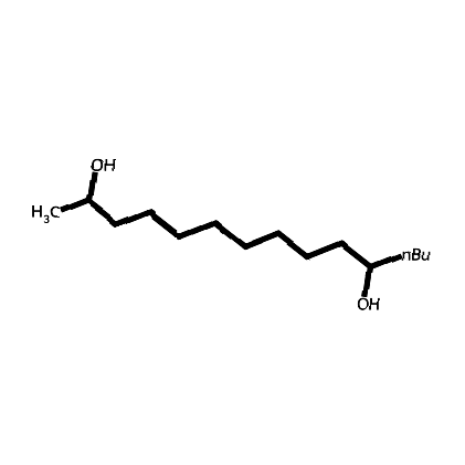 CCCCC(O)CCCCCCCCC(C)O